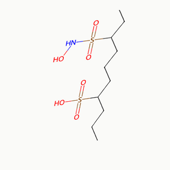 CCCC(CCCC(CC)S(=O)(=O)NO)S(=O)(=O)O